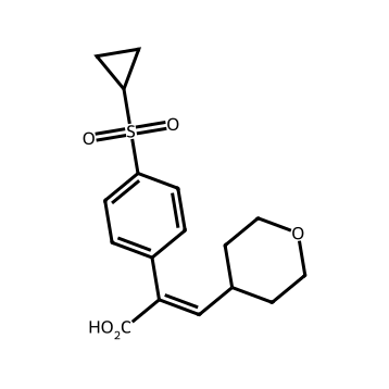 O=C(O)C(=CC1CCOCC1)c1ccc(S(=O)(=O)C2CC2)cc1